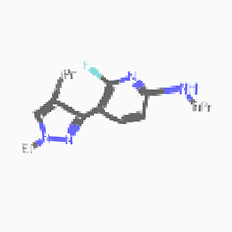 CCCNc1ccc(-c2nn(CC)cc2C(C)C)c(F)n1